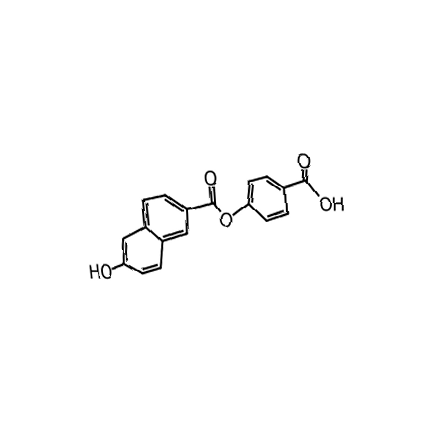 O=C(O)c1ccc(OC(=O)c2ccc3cc(O)ccc3c2)cc1